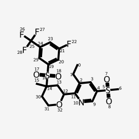 CCc1cc(S(C)(=O)=O)cnc1C1CC(C)(S(=O)(=O)c2cc(F)cc(C(F)(F)F)c2)CCO1